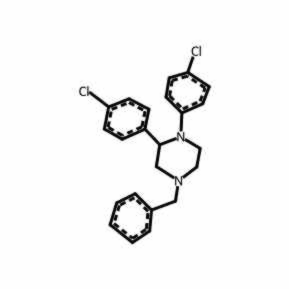 Clc1ccc(C2CN(Cc3ccccc3)CCN2c2ccc(Cl)cc2)cc1